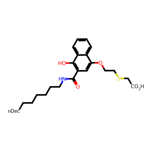 CCCCCCCCCCCCCCCCNC(=O)c1cc(OCCSCC(=O)O)c2ccccc2c1O